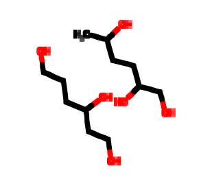 CC(O)CCC(O)CO.OCCCC(O)CCO